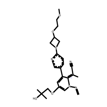 C=NN1C=C(OCC(C)(C)O)C=C(c2ccc(N3CC(OCCOC)C3)nc2)/C1=C(/C)C#N